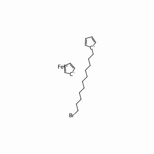 BrCCCCCCCCCCC[c-]1cccc1.[Fe+2].c1cc[cH-]c1